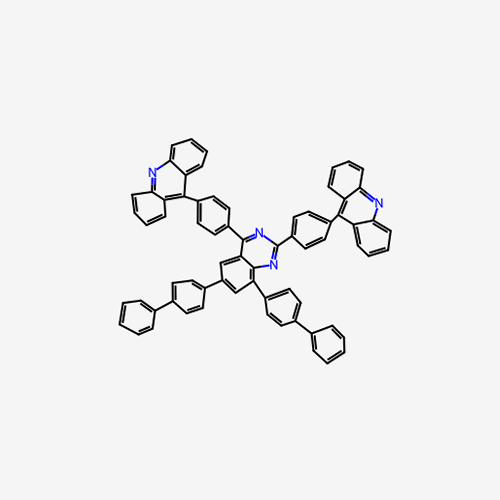 c1ccc(-c2ccc(-c3cc(-c4ccc(-c5ccccc5)cc4)c4nc(-c5ccc(-c6c7ccccc7nc7ccccc67)cc5)nc(-c5ccc(-c6c7ccccc7nc7ccccc67)cc5)c4c3)cc2)cc1